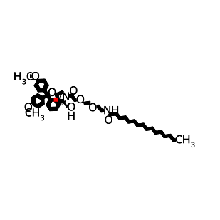 CCCCCCCCCCCCCCCC(=O)NCCOCCOCC(=O)N1C[C@H](OC(c2ccccc2)(c2ccc(OC)cc2)c2ccc(OC)cc2)C[C@H]1CO